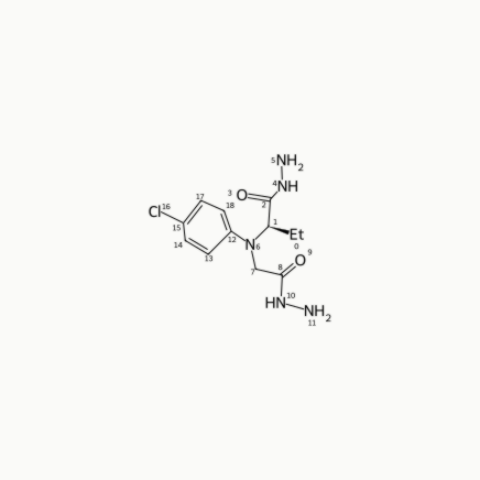 CC[C@H](C(=O)NN)N(CC(=O)NN)c1ccc(Cl)cc1